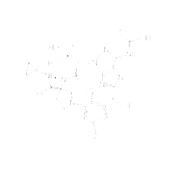 CCc1cc(Cl)cc(N2CCC(NC(=O)OC(C)(C)C)(C(=O)NC3CC3)C2)c1Cn1cnc2c(NC(=O)O)ncnc21